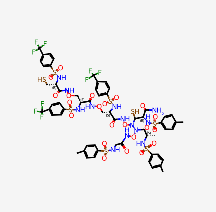 Cc1ccc(S(=O)(=O)NCC(=O)NON(C(=O)[C@H](C)NS(=O)(=O)c2ccc(C)cc2)N(ONC(=O)[C@H](CONC(=O)[C@H](CONC(=O)[C@H](CS)NS(=O)(=O)c2ccc(C(F)(F)F)cc2)NS(=O)(=O)c2ccc(C(F)(F)F)cc2)NS(=O)(=O)c2ccc(C(F)(F)F)cc2)C(S)[C@H](NS(=O)(=O)c2ccc(C)cc2)C(N)=O)cc1